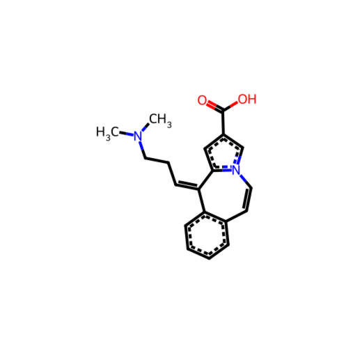 CN(C)CCC=C1c2ccccc2C=Cn2cc(C(=O)O)cc21